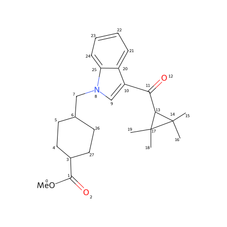 COC(=O)C1CCC(Cn2cc(C(=O)C3C(C)(C)C3(C)C)c3ccccc32)CC1